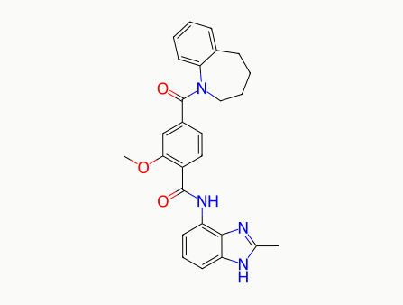 COc1cc(C(=O)N2CCCCc3ccccc32)ccc1C(=O)Nc1cccc2[nH]c(C)nc12